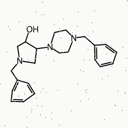 OC1CN(Cc2ccccc2)CC1N1CCN(Cc2ccccc2)CC1